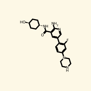 Nc1ncc(-c2ccc(N3CCNCC3)cc2F)cc1C(=O)N[C@H]1CC[C@H](O)CC1